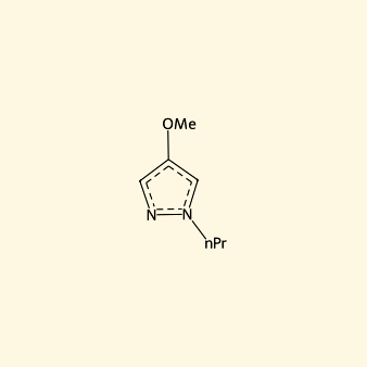 CCCn1cc(OC)cn1